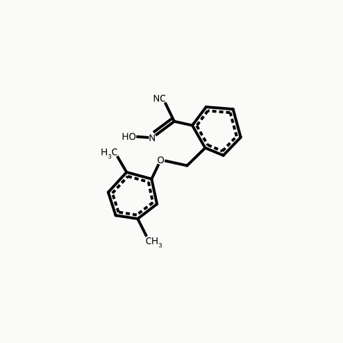 Cc1ccc(C)c(OCc2ccccc2C(C#N)=NO)c1